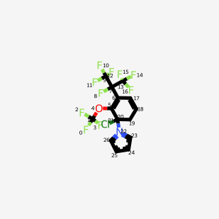 FC(F)(F)OC1=C(C(F)(C(F)(F)F)C(F)(F)F)C=CCC1(Cl)n1cccc1